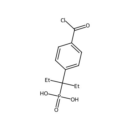 CCC(CC)(c1ccc(C(=O)Cl)cc1)P(=O)(O)O